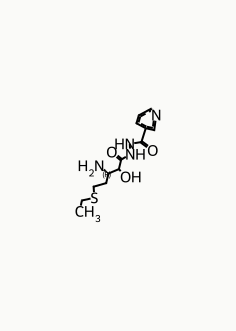 CCSCC[C@@H](N)C(O)C(=O)NNC(=O)c1cccnc1